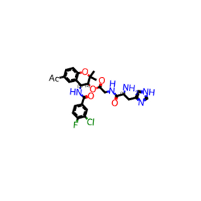 CC(=O)c1ccc2c(c1)[C@H](NC(=O)c1ccc(F)c(Cl)c1)[C@H](OC(=O)CNC(=O)[C@@H](N)Cc1c[nH]cn1)C(C)(C)O2